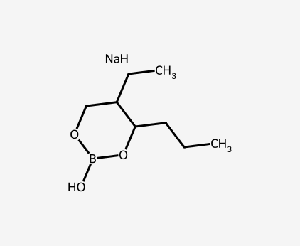 CCCC1OB(O)OCC1CC.[NaH]